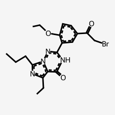 CCCc1nc(CC)c2c(=O)[nH]c(-c3cc(C(=O)CBr)ccc3OCC)nn12